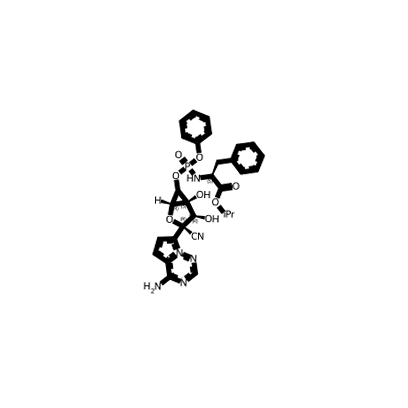 CC(C)OC(=O)[C@H](Cc1ccccc1)NP(=O)(Oc1ccccc1)OC1[C@H]2O[C@@](C#N)(c3ccc4c(N)ncnn34)[C@H](O)[C@@]12O